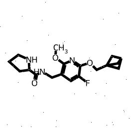 COc1nc(OCC23CC(C2)C3)c(F)cc1CNC(=O)C1CCCN1